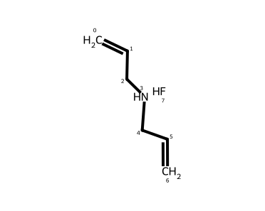 C=CCNCC=C.F